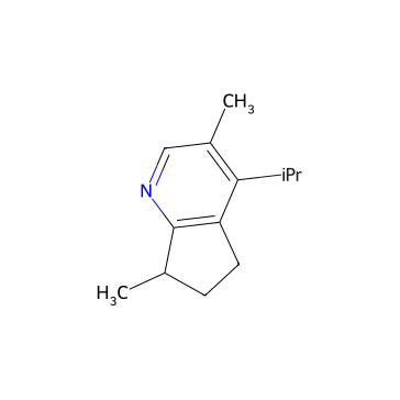 Cc1cnc2c(c1C(C)C)CCC2C